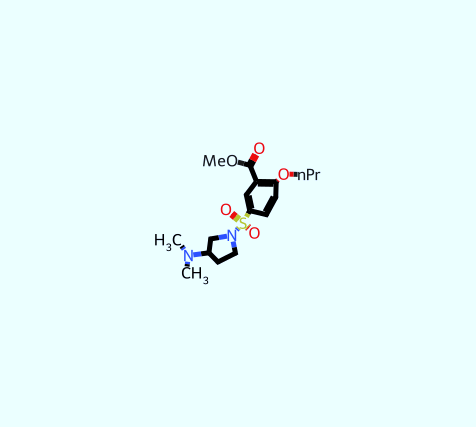 CCCOc1ccc(S(=O)(=O)N2CCC(N(C)C)C2)cc1C(=O)OC